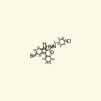 O=C(NN=Cc1ccc(Cl)cc1)c1[nH]c2ccc(Br)cc2c1-c1ccccc1